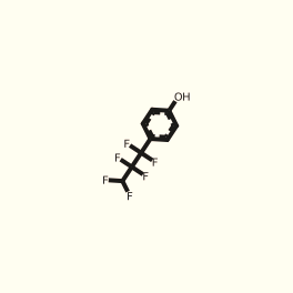 Oc1ccc(C(F)(F)C(F)(F)[C](F)F)cc1